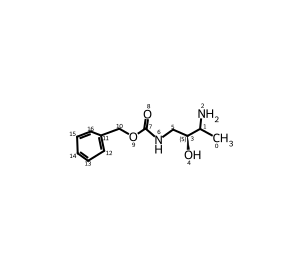 CC(N)[C@@H](O)CNC(=O)OCc1ccccc1